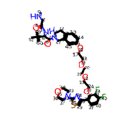 CNCC(=O)NC(C(=O)N1CCc2ccc(OCCOCCOCCOc3c(-c4csc(N5CCOCC5)n4)ccc(F)c3F)cc2C1)C(C)(C)C